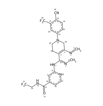 C=NC1=C(/C(=N\C)Nc2cc(C(=O)NCC(F)(F)F)ccn2)CCN(c2ccc(C#N)c(C(F)(F)F)c2)C1